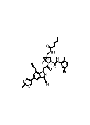 C=CCc1cc(-c2cnc(C)nc2)cc2c(C#N)nn(CC(=O)N3[C@H](C(=O)Nc4nc(Br)ccc4C)C[C@@]4(CNC(=O)CCCC)C[C@@H]34)c12